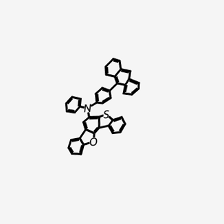 c1ccc(N(c2ccc(-c3c4ccccc4cc4ccccc34)cc2)c2cc3c4ccccc4oc3c3c2sc2ccccc23)cc1